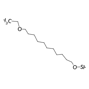 CCOCCCCCCCCCCCOS